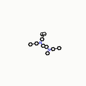 c1ccc(-c2ccc(N(c3ccccc3)c3ccc4cc(N(c5ccc(-c6ccccc6)cc5)c5ccc(C67CC8CC(CC(C8)C6)C7)cc5)ccc4c3)cc2)cc1